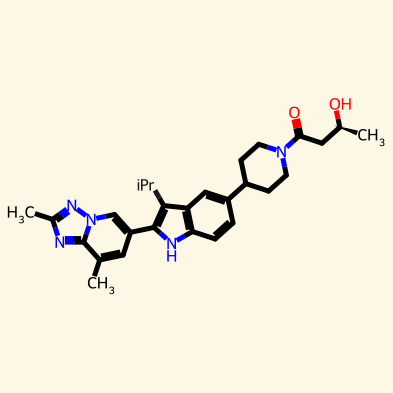 Cc1nc2c(C)cc(-c3[nH]c4ccc(C5CCN(C(=O)C[C@H](C)O)CC5)cc4c3C(C)C)cn2n1